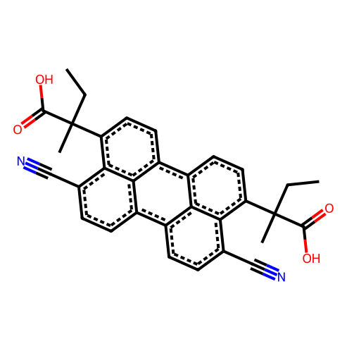 CCC(C)(C(=O)O)c1ccc2c3ccc(C(C)(CC)C(=O)O)c4c(C#N)ccc(c5ccc(C#N)c1c52)c43